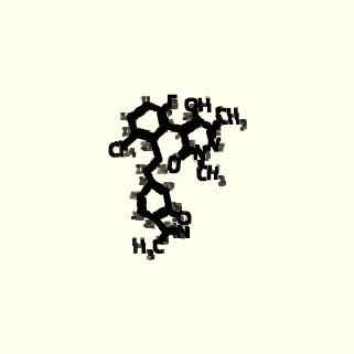 Cc1nn(C)c(=O)c(-c2c(F)ccc(Cl)c2CCc2ccc3c(C)noc3c2)c1O